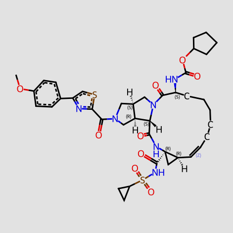 COc1ccc(-c2csc(C(=O)N3C[C@H]4CN5C(=O)[C@@H](NC(=O)OC6CCCC6)CCCCC/C=C\[C@H]6C[C@@]6(C(=O)NS(=O)(=O)C6CC6)NC(=O)[C@@H]5[C@H]4C3)n2)cc1